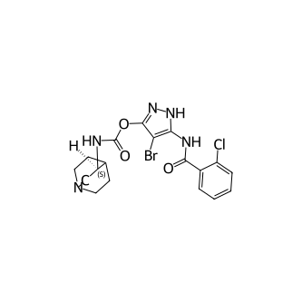 O=C(N[C@@H]1CN2CCC1CC2)Oc1n[nH]c(NC(=O)c2ccccc2Cl)c1Br